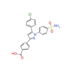 NS(=O)(=O)c1ccc(-n2nc(-c3ccc(C(=O)O)cc3)cc2-c2ccc(Cl)cc2)cc1